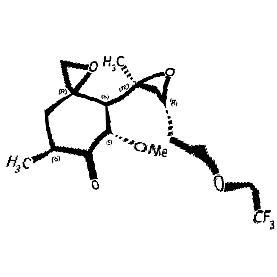 CO[C@@H]1C(=O)[C@@H](C)C[C@]2(CO2)[C@H]1[C@@]1(C)O[C@@H]1CCOCC(F)(F)F